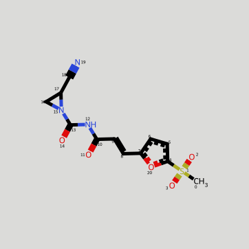 CS(=O)(=O)c1ccc(C=CC(=O)NC(=O)N2CC2C#N)o1